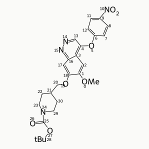 COc1cc2c(Oc3ccc([N+](=O)[O-])cc3)cnnc2cc1OCC1CCN(C(=O)OC(C)(C)C)CC1